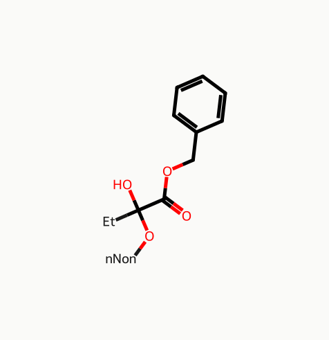 CCCCCCCCCOC(O)(CC)C(=O)OCc1ccccc1